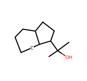 CC(C)(O)C1CCC2CCCCC21